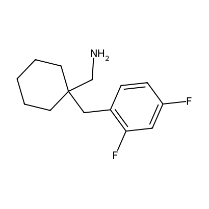 NCC1(Cc2ccc(F)cc2F)CCCCC1